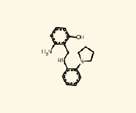 Nc1cccc(O)c1CNc1ccccc1N1CCCC1